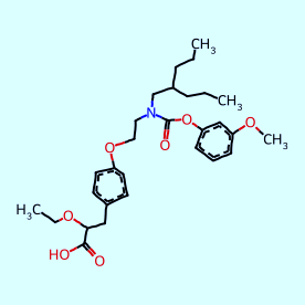 CCCC(CCC)CN(CCOc1ccc(CC(OCC)C(=O)O)cc1)C(=O)Oc1cccc(OC)c1